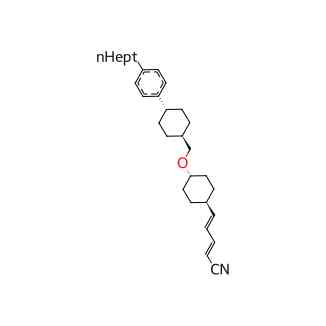 CCCCCCCc1ccc([C@H]2CC[C@H](CO[C@H]3CC[C@H](C=CC=CC#N)CC3)CC2)cc1